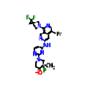 CC(C)c1cnc(N2CC3(C2)CC3(F)F)c2cnc(Nc3ccnc(N4CC[C@@H](O)[C@@](C)(F)C4)n3)cc12